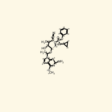 COc1nc(N)nc2c1ncn2C(C)O[C@@H](COP(=O)(NC1CC1)Oc1ccccc1)[C@@H](O)C(C)N=[N+]=[N-]